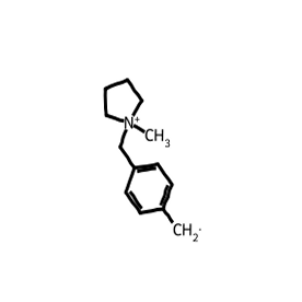 [CH2]c1ccc(C[N+]2(C)CCCC2)cc1